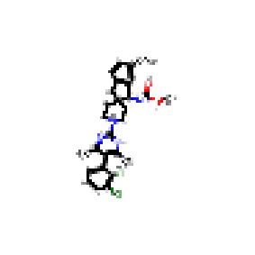 COc1ccc2c(c1)[C@@H](NC(=O)OC(C)(C)C)C1(CCN(c3nc(C)c(-c4cccc(Cl)c4Cl)c(C#N)n3)CC1)C2